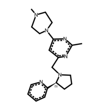 Cc1nc(CN2CCC[C@H]2c2ccccn2)cc(N2CCN(C)CC2)n1